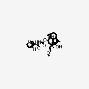 COCC[C@]1(C)C[C@@H](OC(=O)NC(=O)[C@H]2CN3CC[C@@H]2C3)[C@]23C[C@@H]2CCC2(CCC(=O)C23)[C@@H](C)[C@@H]1O